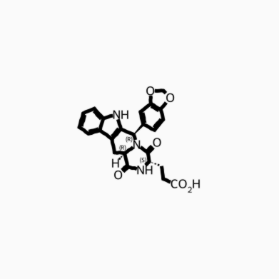 O=C(O)CC[C@@H]1NC(=O)[C@H]2Cc3c([nH]c4ccccc34)[C@@H](c3ccc4c(c3)OCO4)N2C1=O